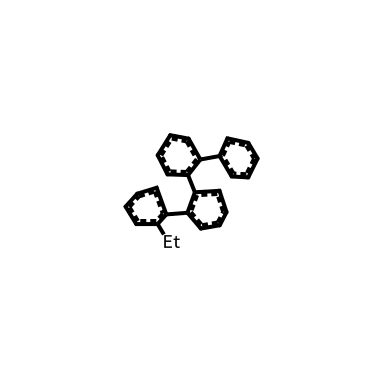 CCc1ccccc1-c1ccccc1-c1ccccc1-c1ccccc1